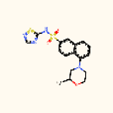 CC1CN(c2cccc3cc(S(=O)(=O)Nc4ncns4)ccc23)CCO1